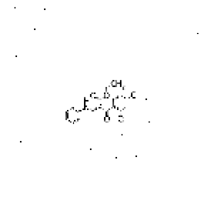 CCOC(=O)/C(=C\Nc1ccccc1)C(=O)c1ccc(Cl)cc1Cl